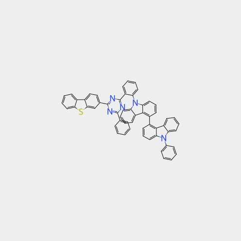 c1ccc(-c2nc(-c3ccc4c(c3)sc3ccccc34)nc(-c3ccccc3-n3c4ccccc4c4c(-c5cccc6c5c5ccccc5n6-c5ccccc5)cccc43)n2)cc1